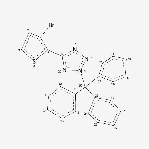 Brc1ccsc1-c1nnn(C(c2ccccc2)(c2ccccc2)c2ccccc2)n1